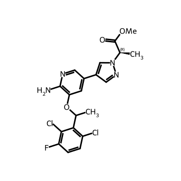 COC(=O)[C@@H](C)n1cc(-c2cnc(N)c(OC(C)c3c(Cl)ccc(F)c3Cl)c2)cn1